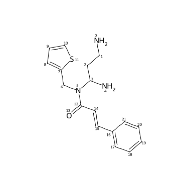 NCCC(N)N(Cc1cccs1)C(=O)/C=C/c1ccccc1